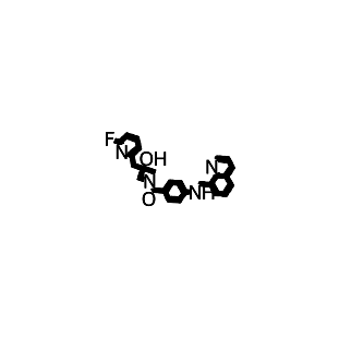 O=C(c1ccc(NCc2cccc3cccnc23)cc1)N1CC(O)(Cc2cccc(F)n2)C1